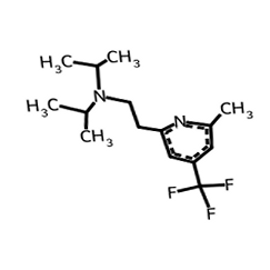 Cc1cc(C(F)(F)F)cc(CCN(C(C)C)C(C)C)n1